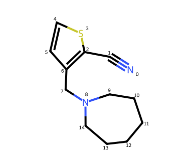 N#Cc1sccc1CN1CCCCCC1